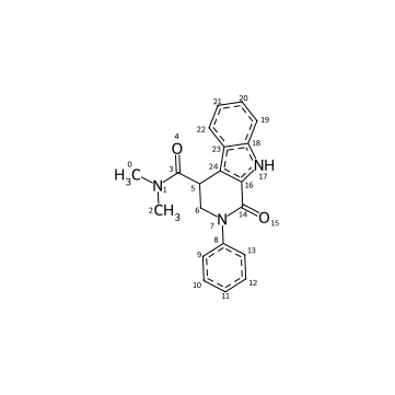 CN(C)C(=O)C1CN(c2ccccc2)C(=O)c2[nH]c3ccccc3c21